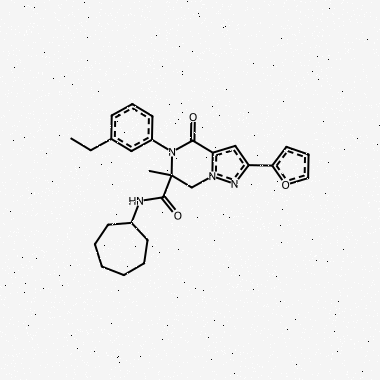 CCc1cccc(N2C(=O)c3cc(-c4ccco4)nn3CC2(C)C(=O)NC2CCCCCC2)c1